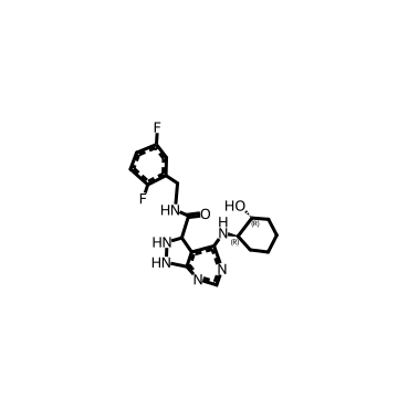 O=C(NCc1cc(F)ccc1F)C1NNc2ncnc(N[C@@H]3CCCC[C@H]3O)c21